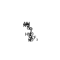 CN(C)C(=O)c1ccc(NC(=O)CCc2cccc(Oc3ccnc(C4=NCCN4)c3)c2)cc1C(F)(F)F